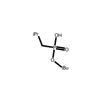 CCC(C)OP(=O)(O)CC(C)C